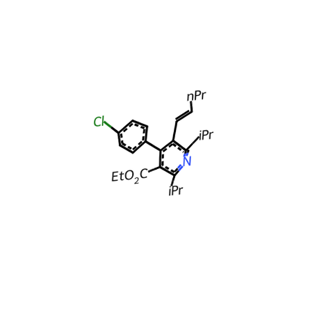 CCCC=Cc1c(C(C)C)nc(C(C)C)c(C(=O)OCC)c1-c1ccc(Cl)cc1